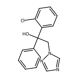 OC(Cn1cncn1)(c1ccccc1)c1ccccc1Cl